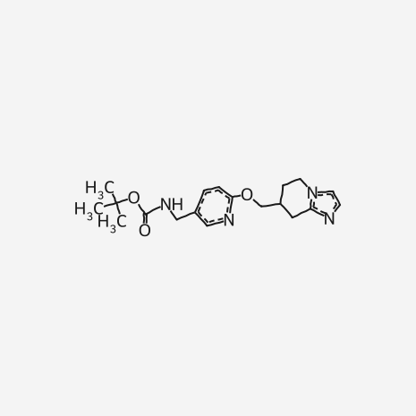 CC(C)(C)OC(=O)NCc1ccc(OCC2CCn3ccnc3C2)nc1